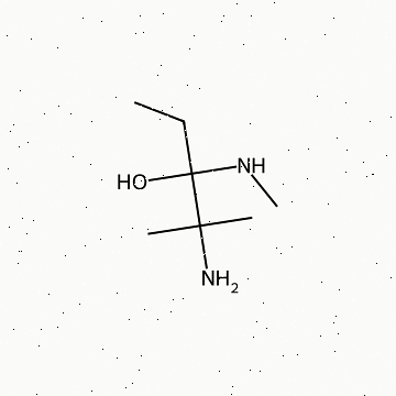 CCC(O)(NC)C(C)(C)N